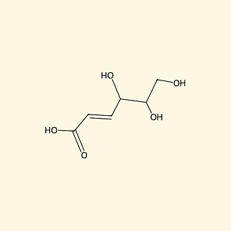 O=C(O)/C=C/C(O)C(O)CO